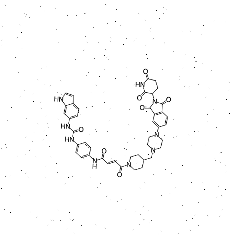 O=C(/C=C/C(=O)N1CCC(CN2CCN(c3ccc4c(c3)C(=O)N(C3CCC(=O)NC3=O)C4=O)CC2)CC1)Nc1ccc(NC(=O)Nc2ccc3cc[nH]c3c2)cc1